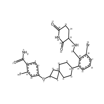 NC(=O)c1ccc(OC2CC3(CCN(c4cccc(Br)c4CNC4CCC(=O)NC4=O)CC3)C2)cc1F